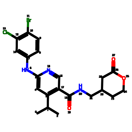 CC(C)c1cc(Nc2ccc(Br)c(Cl)c2)ncc1C(=O)NCC1CCOC(=O)C1